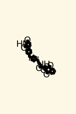 O=C1CCN(c2ccc(CN3CCN(CCNC(=O)c4cc5c(o4)C(=O)c4ccccc4C5=O)CC3)cc2)C(=O)N1